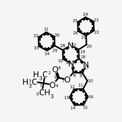 CC(C)(C)OC(=O)Oc1c(Cc2ccccc2)nc2c(Cc3ccccc3)nc(-c3ccccc3)cn12